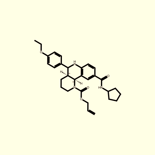 C=CCOC(=O)N1CCC[C@H]2C(c3ccc(OCC)cc3)Nc3ccc(C(=O)NC4CCCC4)cc3[C@H]21